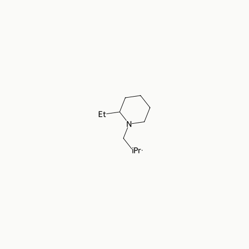 CCC1CCCCN1C[C](C)C